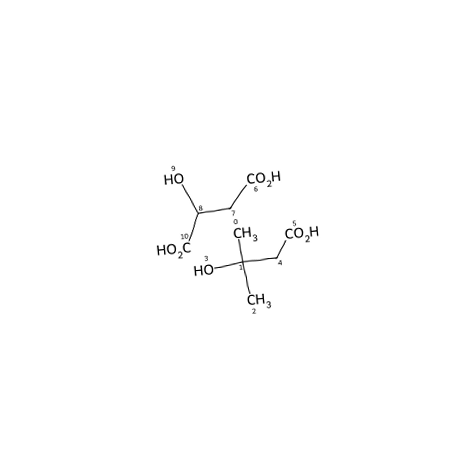 CC(C)(O)CC(=O)O.O=C(O)CC(O)C(=O)O